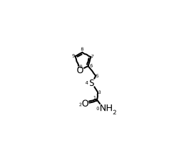 NC(=O)CSCc1ccco1